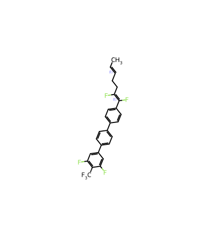 C/C=C/CC/C(F)=C(\F)c1ccc(-c2ccc(-c3cc(F)c(C(F)(F)F)c(F)c3)cc2)cc1